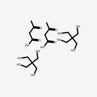 CC(=O)CC(=O)O.CC(=O)CC(=O)O.OCC(CO)(CO)CO.OCC(CO)(CO)CO